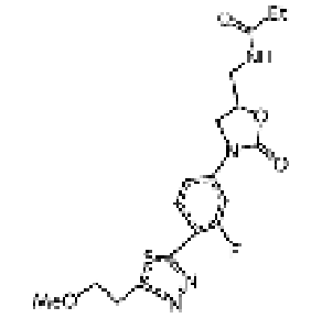 CCC(=O)NCC1CN(c2ccc(-c3nnc(CCOC)s3)c(F)c2)C(=O)O1